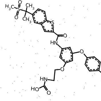 CC(C)(c1ccc2sc(C(=O)Nc3cc(OCCNC(=O)O)cc(Oc4ccc(Cl)cc4)c3)cc2c1)S(C)(=O)=O